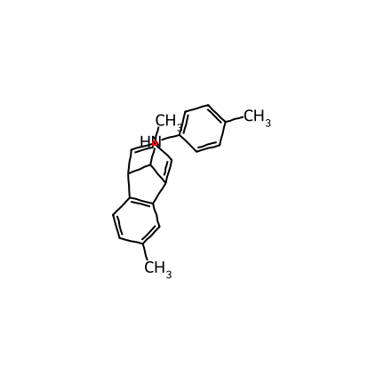 CC1=CC2c3ccc(C)cc3C(=C1)C2Nc1ccc(C)cc1